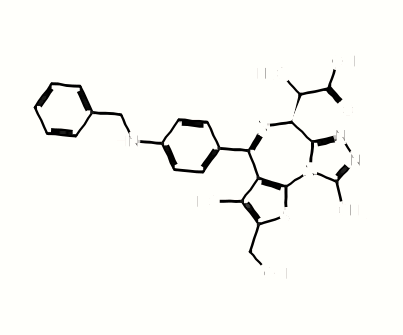 Cc1c(CO)sc2c1C(c1ccc(NCc3ccccc3)cc1)=N[C@@H](C(C)C(=O)O)c1nnc(C)n1-2